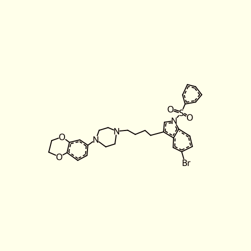 O=S(=O)(c1ccccc1)n1cc(CCCCN2CCN(c3ccc4c(c3)OCCO4)CC2)c2cc(Br)ccc21